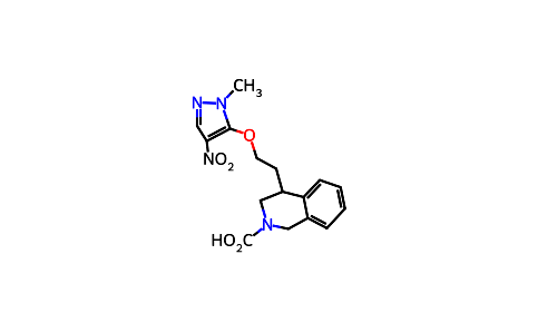 Cn1ncc([N+](=O)[O-])c1OCCC1CN(C(=O)O)Cc2ccccc21